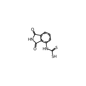 O=C1NC(=O)c2c(NC(=S)S)cccc21